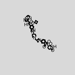 O=C1CCC(N2C(=O)c3ccc(N4CC(CN5CCC(n6cc7cc(NC(=O)c8cnn9cccnc89)c(OC8CCC8)cc7n6)CC5)C4)cc3C2=O)C(=O)N1